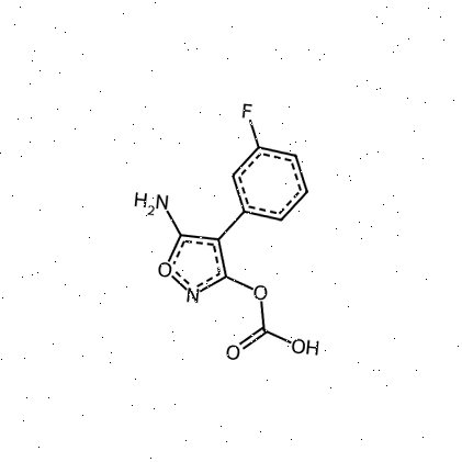 Nc1onc(OC(=O)O)c1-c1cccc(F)c1